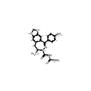 CNC(=O)NC(=S)N1N=C(c2ccc([N+](=O)[O-])cc2)c2cc3c(cc2CC1C)OCO3